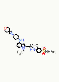 COc1cc(S(=O)(=O)NC(C)=O)ccc1NCC#Cc1cc2c(NC3CCC(N4CC5(CCOCC5)C4)CC3)cccc2n1CC(F)(F)F